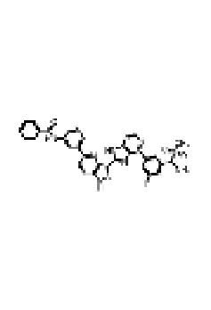 CS(=O)(=O)C(N)c1cc(F)cc(-c2nccc3[nH]c(-c4n[nH]c5ccc(-c6cncc(NC(=O)c7ccccc7)c6)nc45)nc23)c1